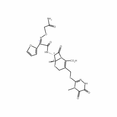 Cn1c(SCC2=C(C(=O)O)N3C(=O)[C@@H](NC(=O)/C(=N\OCC(N)=O)c4ccco4)[C@H]3SC2)n[nH]c(=O)c1=O